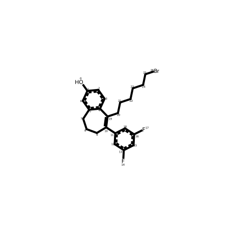 Oc1ccc2c(c1)CCCC(c1cc(F)cc(F)c1)=C2CCCCCCBr